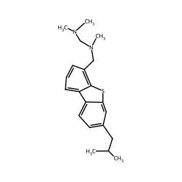 CC(C)Cc1ccc2c(c1)sc1c(CN(C)CN(C)C)cccc12